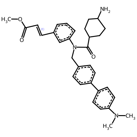 COC(=O)/C=C/c1cccc(N(Cc2ccc(-c3ccc(N(C)C)cc3)cc2)C(=O)C2CCC(N)CC2)c1